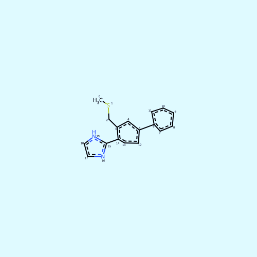 CSCc1cc(-c2ccccc2)ccc1-c1ncc[nH]1